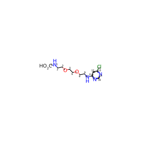 O=C(O)NCCOCCOCCNc1cc(Cl)ncn1